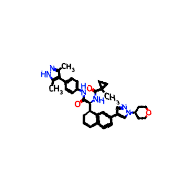 Cc1n[nH]c(C)c1-c1ccc(NC(=O)[C@@H](NC(=O)C2(C)CC2)[C@@H]2CCCc3ccc(-c4cnn(C5CCOCC5)c4)cc32)cc1